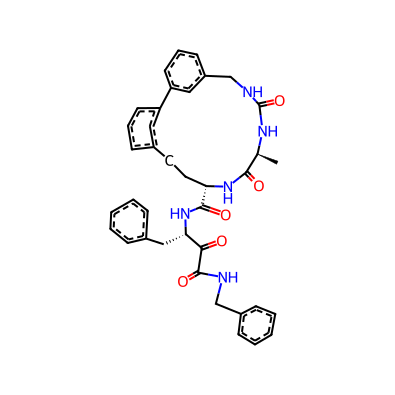 C[C@@H]1NC(=O)NCc2cccc(c2)-c2cccc(c2)CC[C@@H](C(=O)N[C@@H](Cc2ccccc2)C(=O)C(=O)NCc2ccccc2)NC1=O